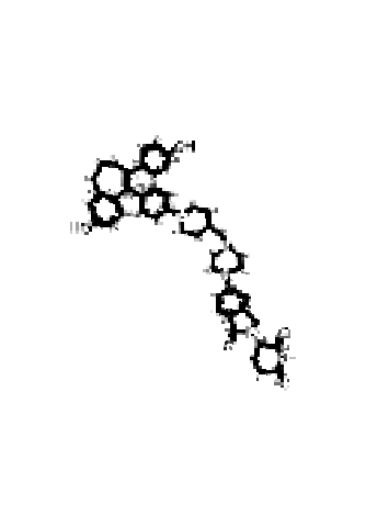 O=C1CC[C@@H](N2Cc3cc(N4CCN(CC5CCN(c6ccc(C7=C(c8ccc(O)cc8)CCCc8cc(O)ccc87)cc6)CC5)CC4)ccc3C2=O)C(=O)N1